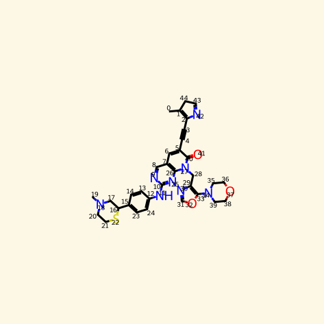 CC1=C(C#Cc2cc3cnc(Nc4ccc(C5CN(C)CCS5)cc4)nc3n(Cc3ncoc3N3CCOCC3)c2=O)N=CC1